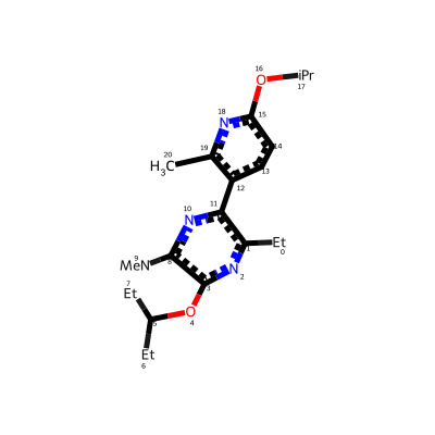 CCc1nc(OC(CC)CC)c(NC)nc1-c1ccc(OC(C)C)nc1C